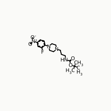 CC(C)(C)OC(=O)NCCCN1CCN(c2ccc([N+](=O)[O-])cc2F)CC1